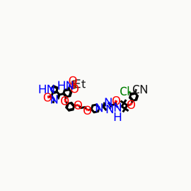 CCS(=O)(=O)Nc1ccc(Oc2cccc(OCCOC3CCN(c4cnc(C(=O)NC5C(C)(C)C(Oc6ccc(C#N)c(Cl)c6)C5(C)C)nc4)CC3)c2)c(-c2cn(C)c(=O)c3[nH]ccc23)c1